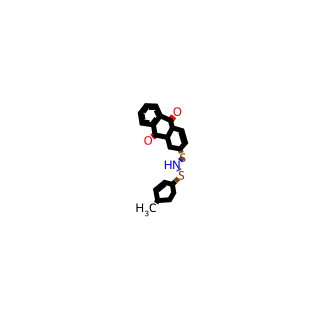 CC1C=CC(SNSC2C=CC3C(=O)c4ccccc4C(=O)C3C2)CC1